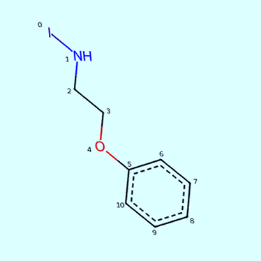 INCCOc1ccccc1